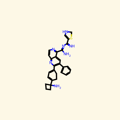 N=C(/N=C(\N)c1nccc2nc(C3=CC=C(C4(N)CCC4)CC3)c(-c3ccccc3)cc12)C1=CNCS1